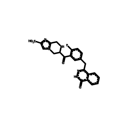 O=C(O)c1cn2c(n1)CNC(C(=O)c1cc(Cc3n[nH]c(=O)c4ccccc34)ccc1F)C2